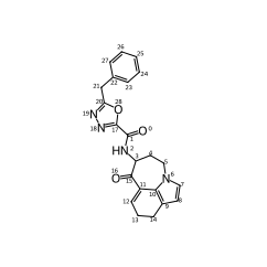 O=C(NC1CCn2ccc3c2C(=CCC3)C1=O)c1nnc(Cc2ccccc2)o1